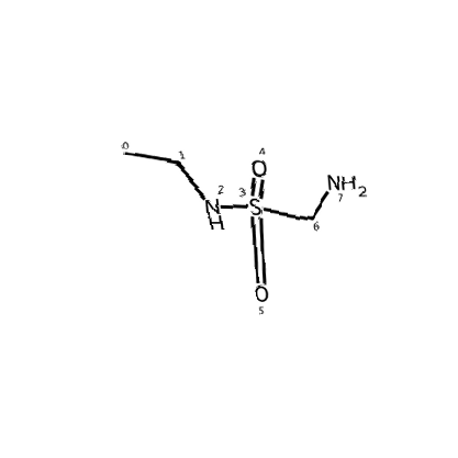 CCNS(=O)(=O)CN